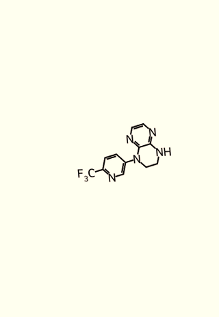 FC(F)(F)c1ccc(N2CCNc3nccnc32)cn1